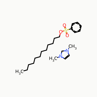 CCCCCCCCCCCCOS(=O)(=O)c1ccccc1.CN1C=CN(C)C1